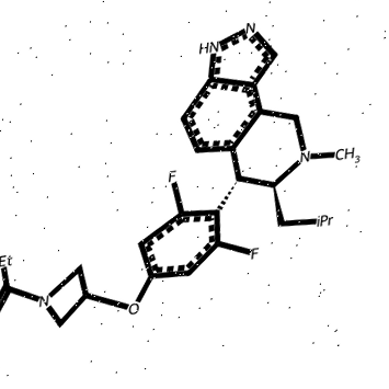 CCC(=O)N1CC(Oc2cc(F)c([C@@H]3c4ccc5[nH]ncc5c4CN(C)[C@H]3CC(C)C)c(F)c2)C1